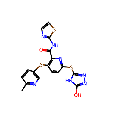 Cc1ccc(Sc2ccc(Sc3nnc(O)[nH]3)nc2C(=O)Nc2nccs2)cn1